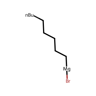 CCCCCCCC[CH2][Mg][Br]